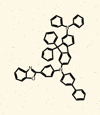 c1ccc(-c2ccc(N(c3ccc(-c4nc5ccccc5o4)cc3)c3ccc4c(c3)C(c3ccccc3)(c3ccccc3)c3cc(N(c5ccccc5)c5ccccc5)ccc3-4)cc2)cc1